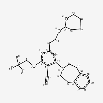 N#Cc1c(OCC(F)(F)F)nc(CCOC2CCCCO2)nc1N1CCc2ccccc2CC1